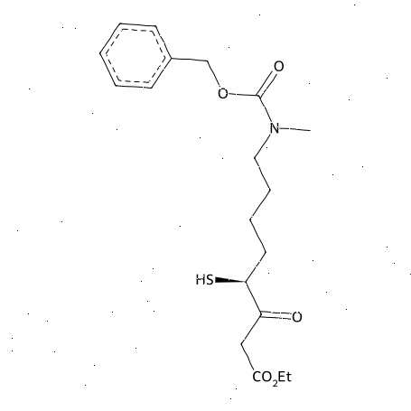 CCOC(=O)CC(=O)[C@@H](S)CCCCN(C)C(=O)OCc1ccccc1